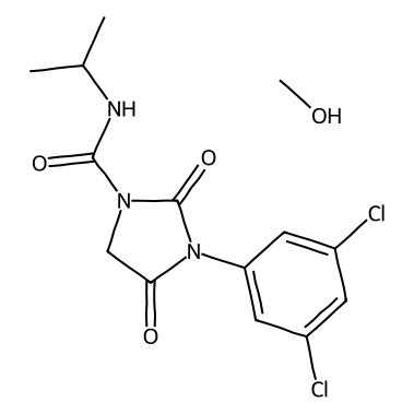 CC(C)NC(=O)N1CC(=O)N(c2cc(Cl)cc(Cl)c2)C1=O.CO